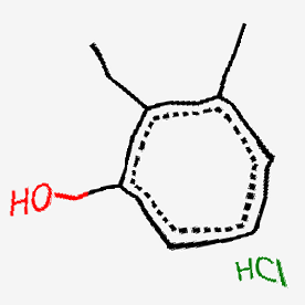 Cc1cccc(O)c1C.Cl